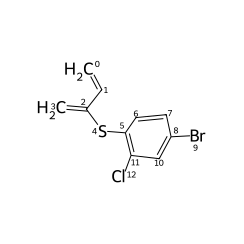 C=CC(=C)Sc1ccc(Br)cc1Cl